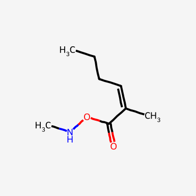 CCCC=C(C)C(=O)ONC